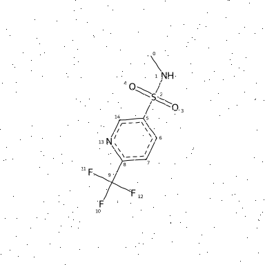 [CH2]NS(=O)(=O)c1ccc(C(F)(F)F)nc1